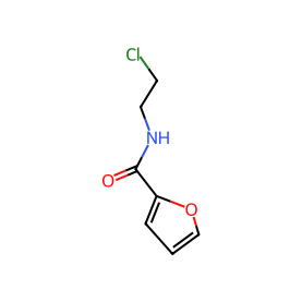 O=C(NCCCl)c1ccco1